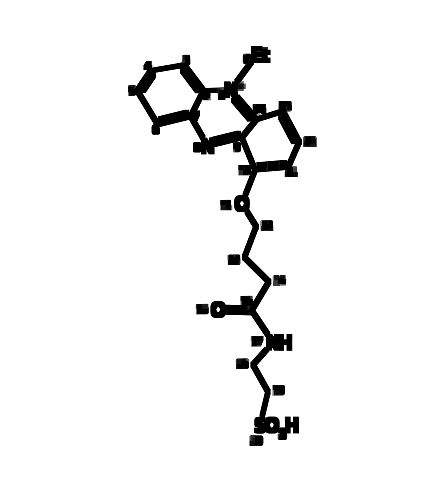 CC[n+]1c2ccccc2nc2c(OCCCC(=O)NCCS(=O)(=O)O)cccc21